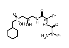 CC(C)[C@@H](N)C(=O)N[C@@H](C(=O)NC[C@@H](O)CP(=O)(O)CC1CCCCC1)C(C)C